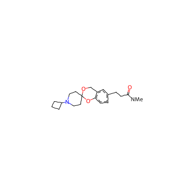 CNC(=O)CCc1ccc2c(c1)COC1(CCN(C3CCC3)CC1)O2